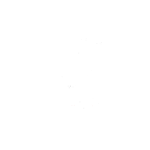 COC1C(OC(=O)C=CC(OC(C)=O)C(C)OC(C)=O)CCC2(CO2)C1C1(C)OC1CC=C(C)C